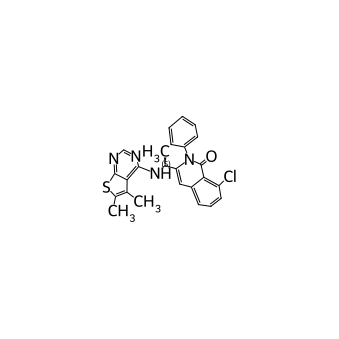 Cc1sc2ncnc(N[C@@H](C)c3cc4cccc(Cl)c4c(=O)n3-c3ccccc3)c2c1C